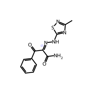 Cc1nsc(N/N=C(\C(N)=O)C(=O)c2ccccc2)n1